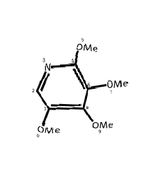 COc1cnc(OC)c(OC)c1OC